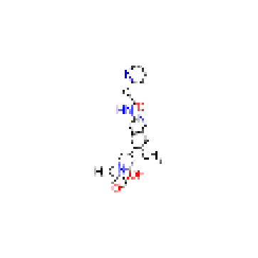 Cc1cc2cnc(NC(=O)[C@H]3C[C@@H]3c3ccccn3)cc2cc1C1CCN([C@]2(C)COC[C@@H]2O)CC1